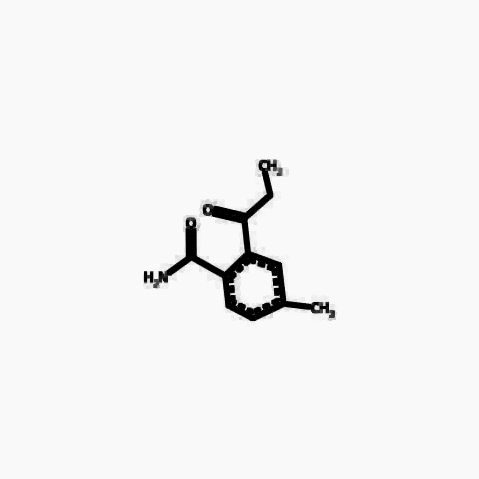 CCC(=O)c1cc(C)ccc1C(N)=O